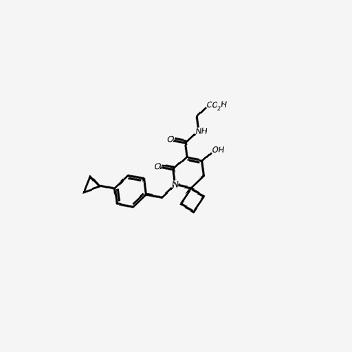 O=C(O)CNC(=O)C1=C(O)CC2(CCC2)N(Cc2ccc(C3CC3)cc2)C1=O